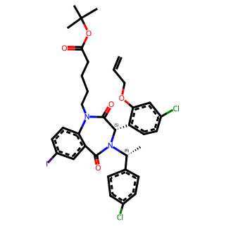 C=CCOc1cc(Cl)ccc1[C@H]1C(=O)N(CCCCC(=O)OC(C)(C)C)c2ccc(I)cc2C(=O)N1[C@H](C)c1ccc(Cl)cc1